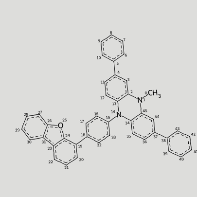 CN1c2cc(-c3ccccc3)ccc2N(c2ccc(-c3cccc4c3oc3ccccc34)cc2)c2ccc(-c3ccccc3)cc21